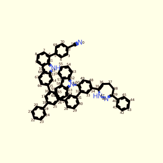 N#Cc1ccc(-c2cccc3c2[nH]c2cc(-c4cc(-c5ccccc5)cc(-c5cccc(-c6cc(C7=CCCC(c8ccccc8)=NN7)ccc6-n6c7ccccc7c7ccccc76)c5)c4)ccc23)cc1